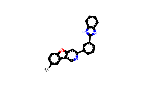 Cc1ccc2oc3cc(-c4cccc(-c5nc6ccccc6[nH]5)c4)ncc3c2c1